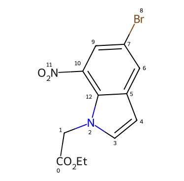 CCOC(=O)Cn1ccc2cc(Br)cc([N+](=O)[O-])c21